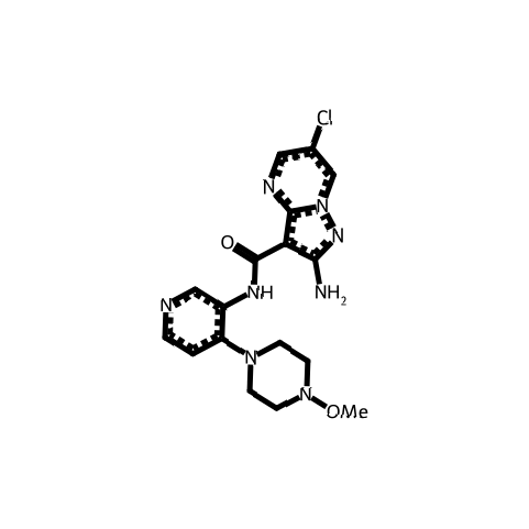 CON1CCN(c2ccncc2NC(=O)c2c(N)nn3cc(Cl)cnc23)CC1